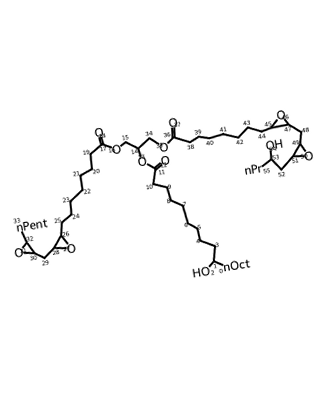 CCCCCCCCC(O)CCCCCCCCC(=O)OC(COC(=O)CCCCCCCC1OC1CC1OC1CCCCC)COC(=O)CCCCCCCC1OC1CC1OC1CC(O)CCC